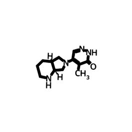 Cc1c(N2C[C@@H]3CCCN[C@@H]3C2)cn[nH]c1=O